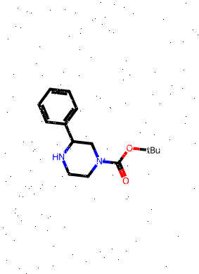 CC(C)(C)OC(=O)[N+]1CCNC(c2ccccc2)C1